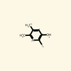 Cc1cc(O)c(I)nc1C